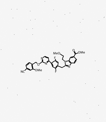 COCCn1c(Cc2cc(F)c(-c3ccnc(OCc4ccc(C#N)cc4OC)n3)cc2F)nc2ccc(C(=O)OC)cc21